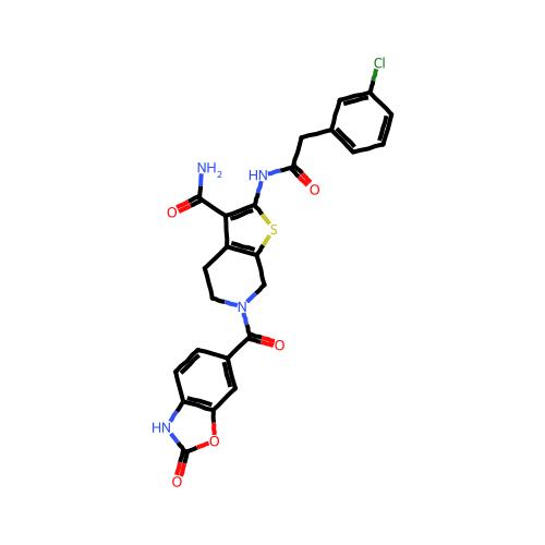 NC(=O)c1c(NC(=O)Cc2cccc(Cl)c2)sc2c1CCN(C(=O)c1ccc3[nH]c(=O)oc3c1)C2